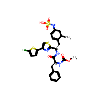 COC(=O)N[C@@H](Cc1ccccc1)C(=O)N[C@@H](CC1=CC=C(NS(=O)(=O)O)CC1C)c1nc(-c2ccc(Cl)s2)cs1